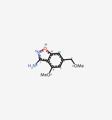 COCc1cc(OC)c2c(N)noc2c1